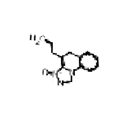 C=CCC1=C2N(CN[N+]2=O)c2ccccc2C1